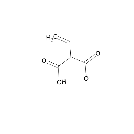 C=CC(C([O])=O)C(=O)O